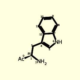 CC(=O)[C@H](N)Cc1c[nH]c2ccccc12